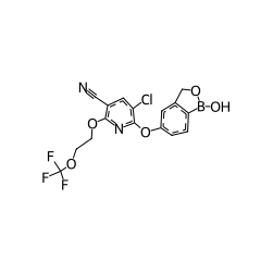 N#Cc1cc(Cl)c(Oc2ccc3c(c2)COB3O)nc1OCCOC(F)(F)F